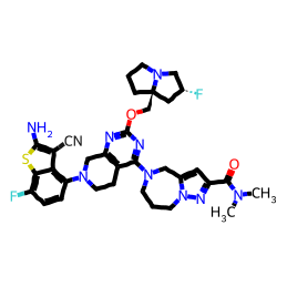 CN(C)C(=O)c1cc2n(n1)CCCN(c1nc(OC[C@@]34CCCN3C[C@H](F)C4)nc3c1CCN(c1ccc(F)c4sc(N)c(C#N)c14)C3)C2